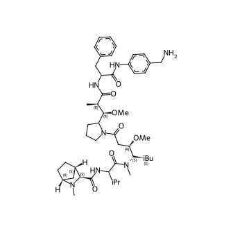 CC[C@H](C)[C@@H]([C@@H](CC(=O)N1CCCC1[C@H](OC)[C@@H](C)C(=O)NC(Cc1ccccc1)C(=O)Nc1ccc(CN)cc1)OC)N(C)C(=O)C(NC(=O)[C@@H]1[C@H]2CC[C@H](C2)N1C)C(C)C